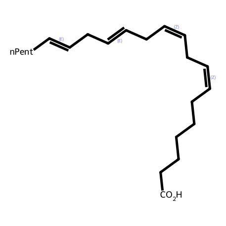 CCCCC/C=C/C/C=C/C/C=C\C/C=C\CCCCCC(=O)O